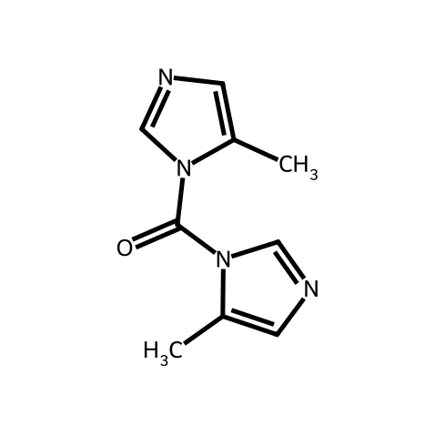 Cc1cncn1C(=O)n1cncc1C